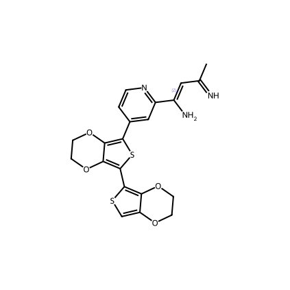 CC(=N)/C=C(\N)c1cc(-c2sc(-c3scc4c3OCCO4)c3c2OCCO3)ccn1